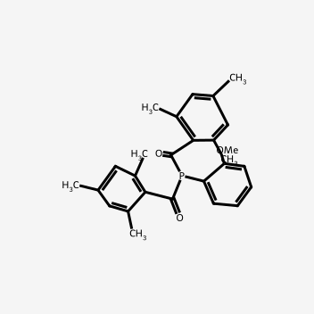 COc1ccccc1P(C(=O)c1c(C)cc(C)cc1C)C(=O)c1c(C)cc(C)cc1C